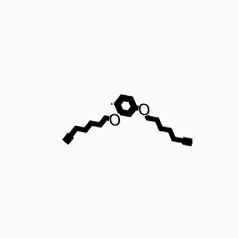 C#CCCCCCOc1[c]ccc(OCCCCCC#C)c1